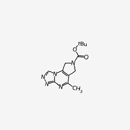 Cc1nc2nncn2c2c1CN(C(=O)OC(C)(C)C)C2